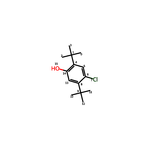 CC(C)(C)c1cc(Cl)c(C(C)(C)C)cc1O